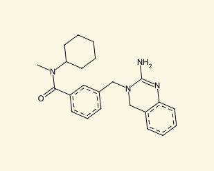 CN(C(=O)c1cccc(CN2Cc3ccccc3N=C2N)c1)C1CCCCC1